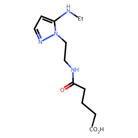 CCNc1ccnn1CCNC(=O)CCCC(=O)O